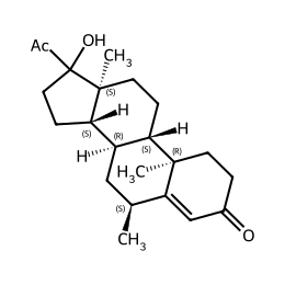 CC(=O)C1(O)CC[C@H]2[C@@H]3C[C@H](C)C4=CC(=O)CC[C@]4(C)[C@H]3CC[C@@]21C